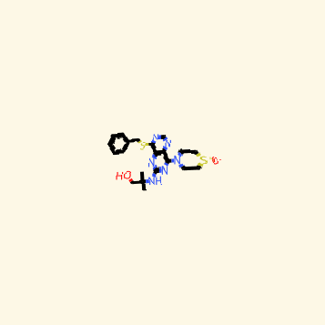 CC(C)(CO)Nc1nc(N2CC[S+]([O-])CC2)c2ncnc(SCc3ccccc3)c2n1